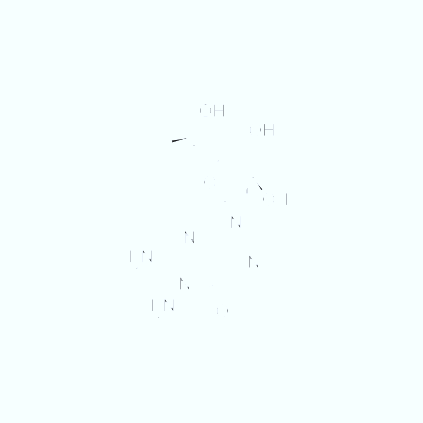 C#C[C@@]1(O)C(O)[C@@H]([C@@H](C)O)O[C@H]1n1cnc2c(=O)n(N)c(N)nc21